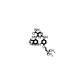 CC(=O)Nc1cc(Nc2ncc(C(N)=O)c(Nc3cccc4nsnc34)n2)ccc1OCCN(C)C